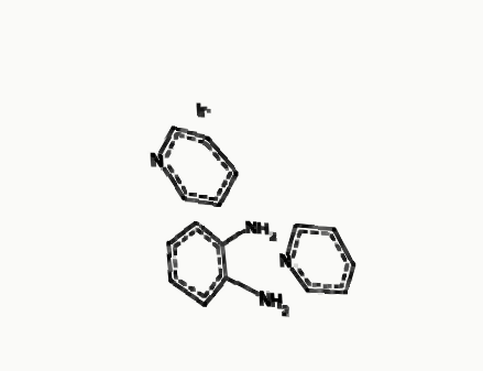 Nc1ccccc1N.[Ir].c1ccncc1.c1ccncc1